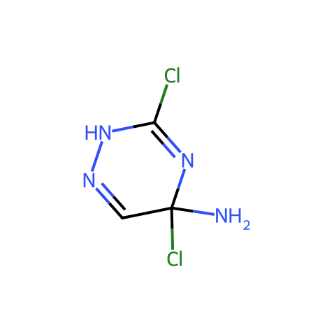 NC1(Cl)C=NNC(Cl)=N1